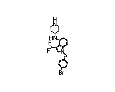 FC(F)c1cn(Sc2ccc(Br)cc2)c2cccc(NC3CCNCC3)c12